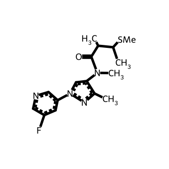 CSC(C)C(C)C(=O)N(C)c1cn(-c2cncc(F)c2)nc1C